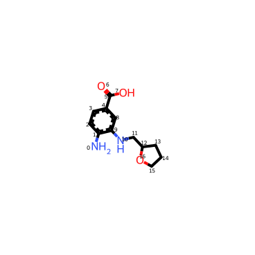 Nc1ccc(C(=O)O)cc1NCC1CCCO1